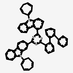 C1=CC=C(n2c3ccccc3c3ccc(-c4nc(-c5ccccc5-c5ccccc5-c5ccccc5)nc(-c5cccc6c5c5ccccc5n6C5=CC=CCC=C5)n4)cc32)CC=C1